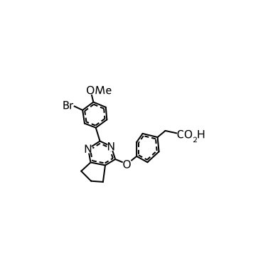 COc1ccc(-c2nc3c(c(Oc4ccc(CC(=O)O)cc4)n2)CCC3)cc1Br